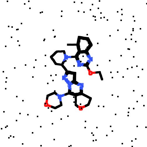 CCOc1nc(N2CCCCC2c2cc3nc4c(c(N5CCOCC5)n3n2)COCC4)c2c(C)cccc2n1